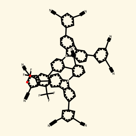 N#Cc1cc(C#N)cc(-c2ccc3c(c2)c2cc(-c4cc(C#N)cc(C#N)c4)ccc2n3-c2ccc(-c3cc(C(F)(F)F)cc(C(F)(F)F)c3)cc2-c2c(C#N)cccc2-n2c3ccc(-c4cc(C#N)cc(C#N)c4)cc3c3cc(-c4cc(C#N)cc(C#N)c4)ccc32)c1